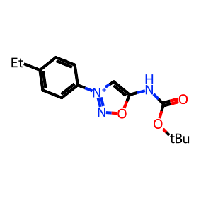 CCc1ccc(-[n+]2cc(NC(=O)OC(C)(C)C)on2)cc1